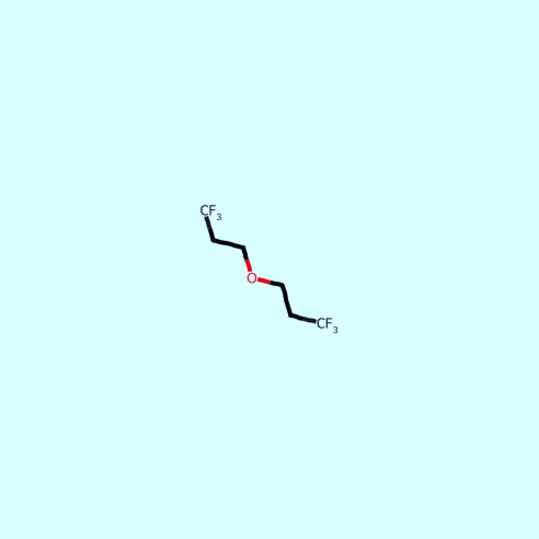 FC(F)(F)CCOCCC(F)(F)F